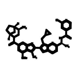 COc1cc(C(=O)N2C[C@H](N)[C@@H]3CC[C@H]2C3)cc2nc(-c3cc4ccc([C@@H](C)NC(=O)c5ccnc(Cl)c5)nc4n3CC3CC3)n(C)c12